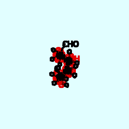 O=CCCCCO[C@@H]1O[C@H](CO[C@@H]2O[C@H](CO[C@@H]3O[C@H](CO[C@@H]4O[C@H](COC(=O)c5ccccc5)[C@@H](OC(=O)c5ccccc5)[C@H](OC(=O)c5ccccc5)[C@H]4OC(=O)c4ccccc4)[C@@H](OC(=O)c4ccccc4)[C@H](OC(=O)c4ccccc4)[C@H]3OC(=O)c3ccccc3)[C@@H](OC(=O)c3ccccc3)[C@H](O)[C@H]2OC(=O)c2ccccc2)[C@@H](OC(=O)c2ccccc2)[C@H](OC(=O)c2ccccc2)[C@H]1OC(=O)c1ccccc1